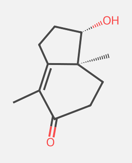 CC1=C2CC[C@H](O)[C@@]2(C)CCC1=O